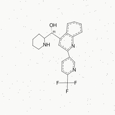 O[C@H](c1cc(-c2ccc(C(F)(F)F)nc2)nc2ccccc12)C1CCCCN1